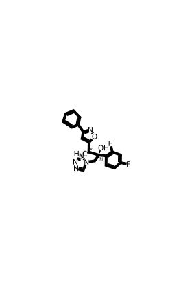 C[C@@H](c1cc(-c2ccccc2)no1)[C@](O)(Cn1cnnn1)c1ccc(F)cc1F